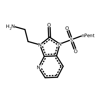 CCCCCS(=O)(=O)n1c(=O)n(CCN)c2ncccc21